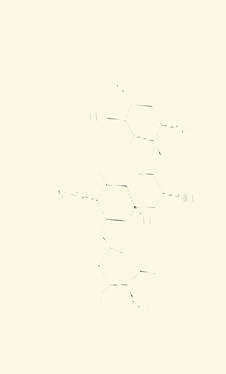 CNC1C(O[C@@H]2CC(O)[C@H](N)C(CO)O2)O[C@H]2CC(N)[C@@H](O[C@@H]3C(N)C[C@@H](N)C(O)C3F)OC2C1O